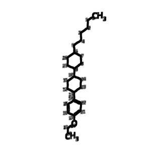 CCCCCCC1CCC(C2CCC(c3ccc(OCC)cc3)CC2)CC1